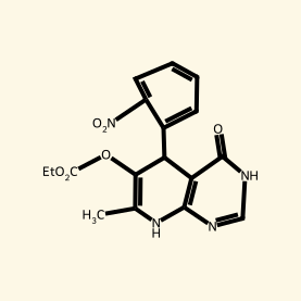 CCOC(=O)OC1=C(C)Nc2nc[nH]c(=O)c2C1c1ccccc1[N+](=O)[O-]